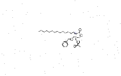 CCCCCCCCCCCCC/C=C1/C(=O)OCC1(COCc1ccccc1)COC(C)=O